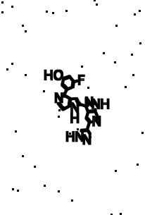 Oc1cc(F)cc(-c2nccc3[nH]c(-c4n[nH]c5cnc(-c6cn[nH]c6)cc45)cc23)c1